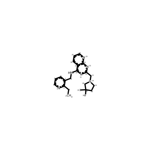 CCc1ncccc1CNc1nc(CN2CCC(F)(I)C2)nc2ncccc12